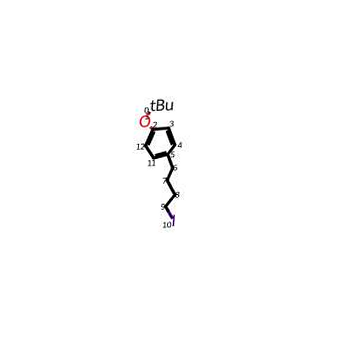 CC(C)(C)Oc1ccc(CCCCI)cc1